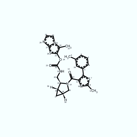 Cc1cccc(-c2sc(C)nc2C(=O)N2C[C@@H]3C[C@@H]3[C@H]2CNC(=O)Oc2sc3nccn3c2C)c1